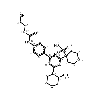 C[C@H]1COCCN1c1cc(C2(S(C)(=O)=O)CCOCC2)nc(-c2ccc(NC(=O)NCCO)cc2)n1